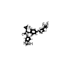 O=C1C(C2CC2)C(c2c(F)cc(-n3cc(C(F)(F)F)cn3)cc2F)N1c1ccc2[nH]cnc2c1